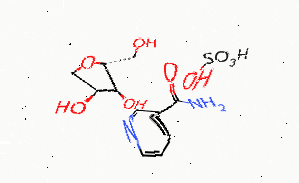 NC(=O)c1cccnc1.O=S(=O)(O)O.OC[C@H]1OC[C@H](O)[C@@H]1O